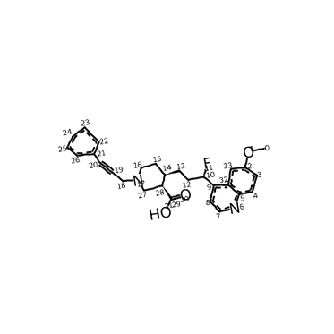 COc1ccc2nccc([C@H](F)CC[C@@H]3CCN(CC#Cc4ccccc4)C[C@@H]3C(=O)O)c2c1